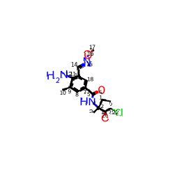 CCC(C)(NC(=O)c1cc(C)c(N)c(C=NOC)c1)C(=O)CCl